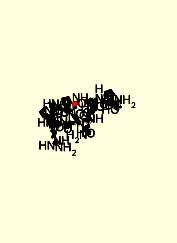 CC(C)C[C@H](NC(=O)[C@@H]1CCCN1C(=O)[C@@H](N)[C@@H](C)O)C(=O)NCC(=O)N[C@@H](CCC(N)=O)C(=O)N[C@@H](CCC(N)=O)C(=O)N[C@@H](CCC(N)=O)C(=O)N1CCC[C@H]1C(=O)N[C@@H](C)C(=O)N1CCC[C@H]1C(=O)N[C@@H](CCCNC(=N)N)C(=O)O